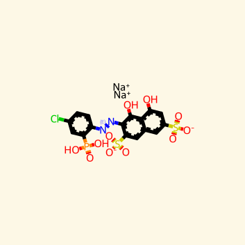 O=P(O)(O)c1cc(Cl)ccc1/N=N/c1c(S(=O)(=O)[O-])cc2cc(S(=O)(=O)[O-])cc(O)c2c1O.[Na+].[Na+]